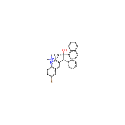 CC[N+](C)(C)CCC(O)(c1cccc2ccccc12)C(c1ccccc1)c1cc2cc(Br)ccc2nc1OC